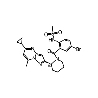 Cc1cc(C2CC2)nc2cc([C@@H]3CCCCN3C(=O)c3cc(Br)ccc3NS(C)(=O)=O)nn12